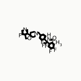 CC(=O)NC(c1ccc(CN2CCC3(CC2)OCc2c(F)cncc23)cc1)(c1ccc(F)c(F)c1)C(F)(F)F